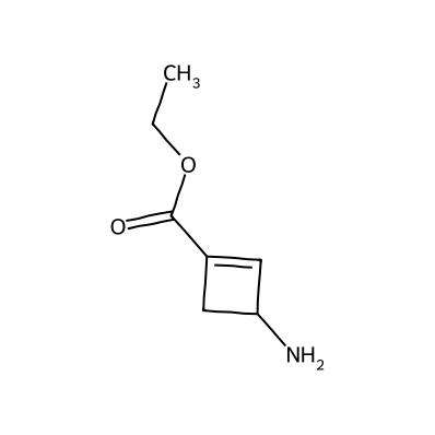 CCOC(=O)C1=CC(N)C1